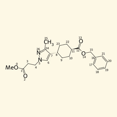 COC(=O)CCn1cc([C@H]2CC[C@H](C(=O)OCc3ccccc3)CC2)c(C)n1